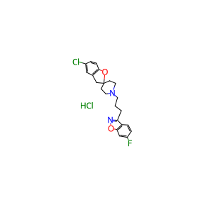 Cl.Fc1ccc2c(CCCN3CCC4(CC3)Cc3cc(Cl)ccc3O4)noc2c1